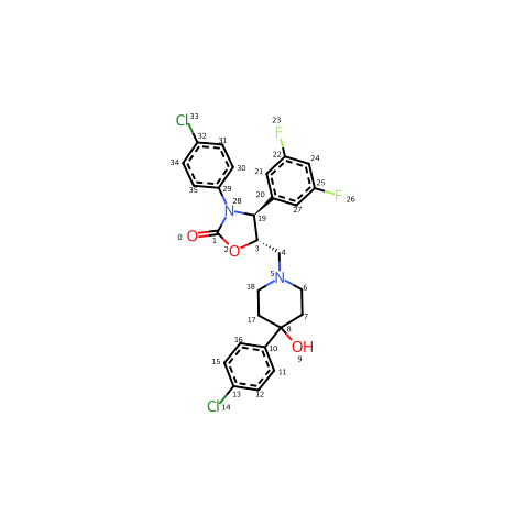 O=C1O[C@@H](CN2CCC(O)(c3ccc(Cl)cc3)CC2)[C@H](c2cc(F)cc(F)c2)N1c1ccc(Cl)cc1